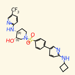 O=S(=O)(c1ccc(-c2ccc(NC3CCC3)nc2)cc1)N1CC[C@@H](Nc2ccc(C(F)(F)F)cn2)[C@@H](O)C1